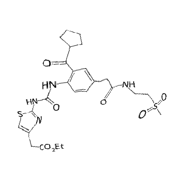 CCOC(=O)Cc1csc(NC(=O)Nc2ccc(CC(=O)NCCS(C)(=O)=O)cc2C(=O)C2CCCC2)n1